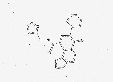 O=C(NCc1ccco1)c1cc(-c2ccccc2)c(=O)n2ccc3ccsc3c12